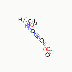 CCC(C)n1ncn(-c2ccc(N3CCN(c4ccc(OC[C@@H]5CO[C@@H](c6ccccc6Cl)O5)cc4)CC3)cc2)c1=O